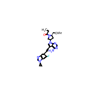 C=CC(=O)N1CC(n2cc(C#Cc3cc4ncn(C5CC5)c4cc3F)c3c(N)ncnc32)C[C@@H]1COC